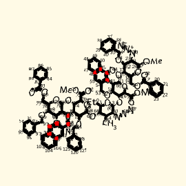 CCC1O[C@H](O[C@H]2C(C(=O)OC)O[C@@H](O[C@@H]3C(COC(=O)c4ccccc4)O[C@H](OC)[C@@H](N=[N+]=[N-])C3OCc3ccccc3)C(OC(=O)c3ccccc3)[C@@H]2OCc2ccccc2)[C@@H](N=[N+]=[N-])C(C)[C@@H]1O[C@@H]1OC(C(=O)OC)[C@@H](O[C@H]2OC(COC(=O)c3ccccc3)[C@H](OCc3ccccc3)[C@@H](OCc3ccccc3)C2N=[N+]=[N-])[C@@H](OCc2ccccc2)C1OCc1ccccc1